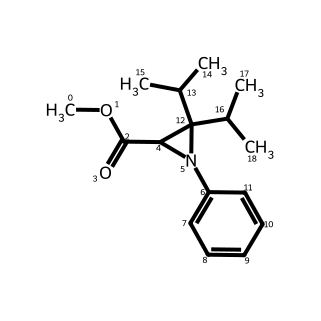 COC(=O)C1N(c2ccccc2)C1(C(C)C)C(C)C